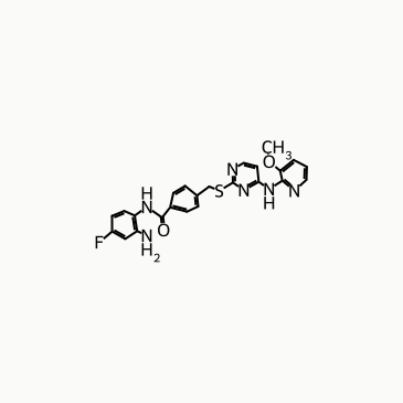 COc1cccnc1Nc1ccnc(SCc2ccc(C(=O)Nc3ccc(F)cc3N)cc2)n1